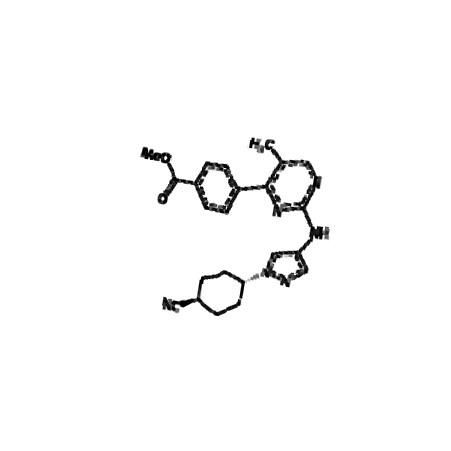 COC(=O)c1ccc(-c2nc(Nc3cnn([C@H]4CC[C@H](C#N)CC4)c3)ncc2C)cc1